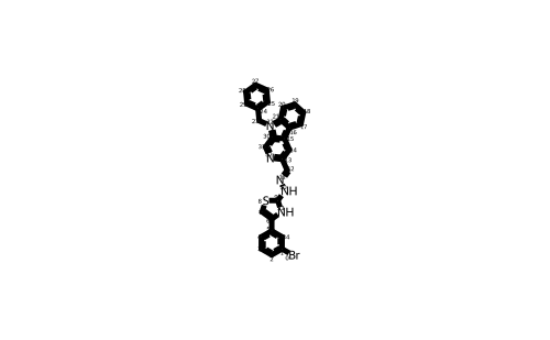 Brc1cccc(C2=CSC(NN=Cc3cc4c5ccccc5n(Cc5ccccc5)c4cn3)N2)c1